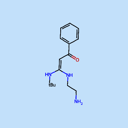 CC(C)(C)NC(=CC(=O)c1ccccc1)NCCN